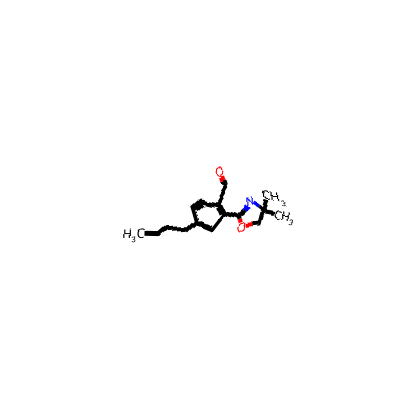 CCCCc1ccc(C=O)c(C2=NC(C)(C)CO2)c1